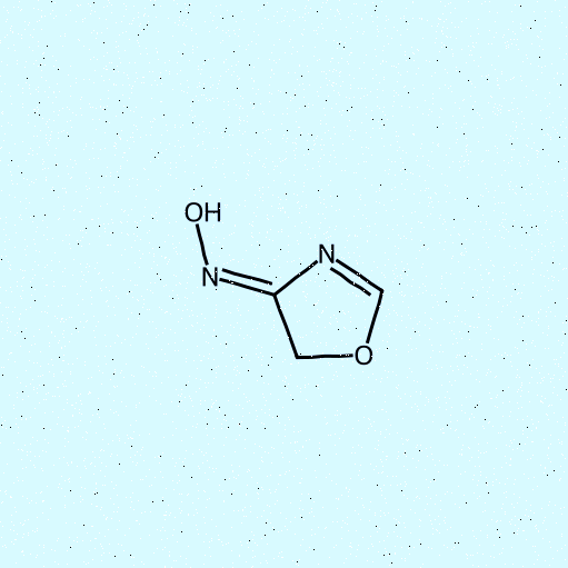 ON=C1COC=N1